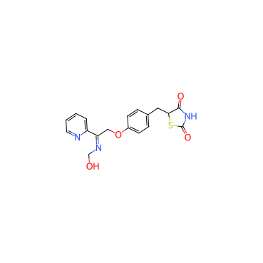 O=C1NC(=O)C(Cc2ccc(OCC(=NCO)c3ccccn3)cc2)S1